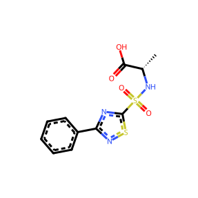 C[C@H](NS(=O)(=O)c1nc(-c2ccccc2)ns1)C(=O)O